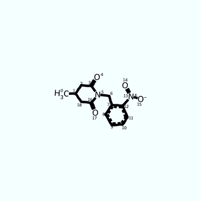 CC1CC(=O)N(Cc2ccccc2[N+](=O)[O-])C(=O)C1